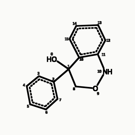 OC1(c2ccccc2)CONc2ccccc21